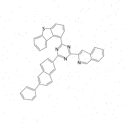 c1ccc(-c2ccc3cc(-c4nc(-c5cc6ccccc6cn5)nc(-c5cccc6sc7ccccc7c56)n4)ccc3c2)cc1